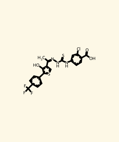 CC(=NNC(=S)Nc1ccc(C(=O)O)c(Cl)c1)c1csc(-c2ccc(C(F)(F)F)cc2)c1O